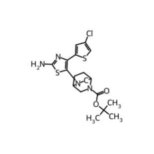 CC(C)(C)OC(=O)N1CC2CCC1CN2c1sc(N)nc1-c1cc(Cl)cs1